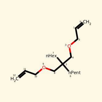 C=CCOCC(CCCCC)(CCCCCC)COCC=C